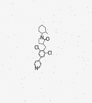 CC1CCCCC1N1CCC(Cc2c(Cl)cc(-c3ccncc3)cc2Cl)C1=O